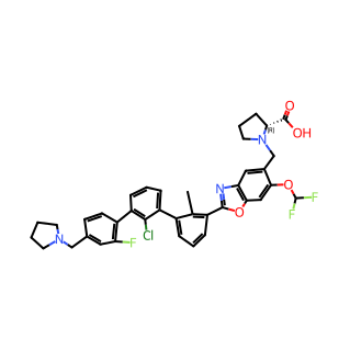 Cc1c(-c2nc3cc(CN4CCC[C@@H]4C(=O)O)c(OC(F)F)cc3o2)cccc1-c1cccc(-c2ccc(CN3CCCC3)cc2F)c1Cl